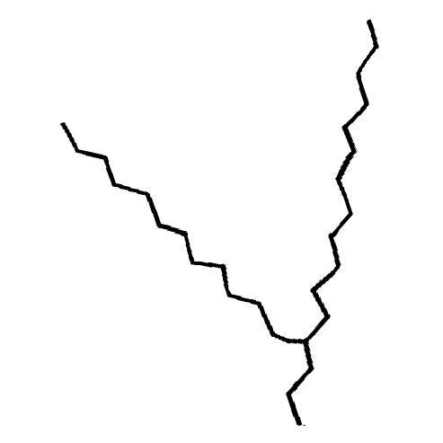 [CH2]CCC(CCCCCCCCCCCC)CCCCCCCCCCCC